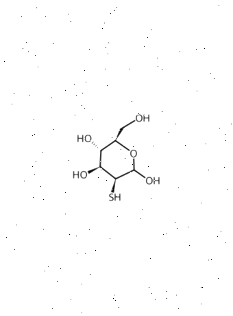 OC[C@H]1OC(O)[C@@H](S)[C@@H](O)[C@@H]1O